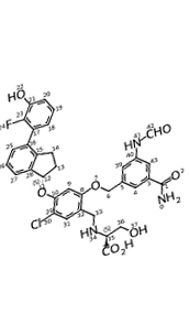 NC(=O)c1cc(COc2cc(O[C@H]3CCc4c(-c5cccc(O)c5F)cccc43)c(Cl)cc2CN[C@@H](CO)C(=O)O)cc(NC=O)c1